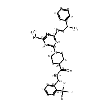 CNc1nc(NC[C@H](C)c2ccccc2)nc(N2CCC(C(=O)NCc3ccccc3C(F)(F)F)CC2)n1